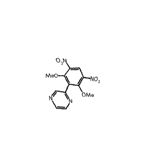 COc1c([N+](=O)[O-])cc([N+](=O)[O-])c(OC)c1-c1cnccn1